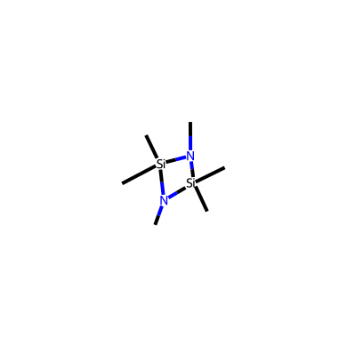 CN1[Si](C)(C)N(C)[Si]1(C)C